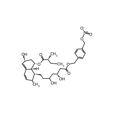 CC[C@H](C)C(=O)O[C@H]1C[C@H](O)C=C2C=C[C@H](C)[C@H](CCC(O)C[C@H](O)CC(=O)OCc3ccc(CO[N+](=O)[O-])cc3)[C@H]21